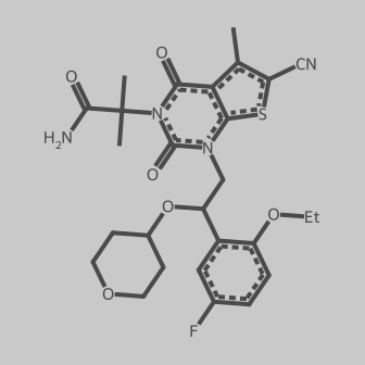 CCOc1ccc(F)cc1C(Cn1c(=O)n(C(C)(C)C(N)=O)c(=O)c2c(C)c(C#N)sc21)OC1CCOCC1